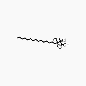 CCCCCCCCCCCCCCCC(Cl)(Cl)C(C)(Cl)C(=O)O